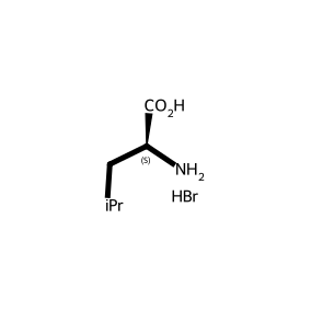 Br.CC(C)C[C@H](N)C(=O)O